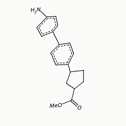 COC(=O)C1CCC(c2ccc(-c3ccc(N)cc3)cc2)C1